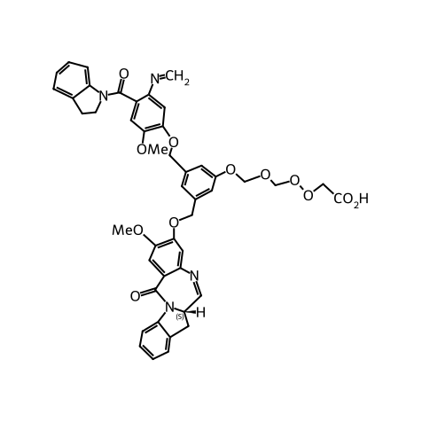 C=Nc1cc(OCc2cc(COc3cc4c(cc3OC)C(=O)N3c5ccccc5C[C@H]3C=N4)cc(OCOCOOCC(=O)O)c2)c(OC)cc1C(=O)N1CCc2ccccc21